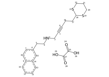 C(#CCNCCc1ccc2ccccc2c1)CCC1SCCCS1.O=C(O)C(=O)O